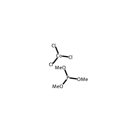 COP(OC)OC.[Cl][Co]([Cl])[Cl]